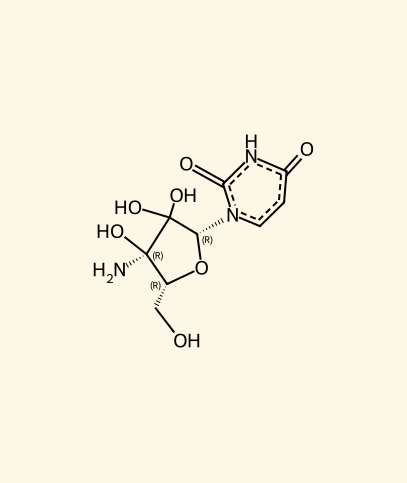 N[C@@]1(O)[C@@H](CO)O[C@@H](n2ccc(=O)[nH]c2=O)C1(O)O